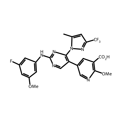 COc1cc(F)cc(Nc2ncc(-c3cnc(OC)c(C(=O)O)c3)c(-n3nc(C(F)(F)F)cc3C)n2)c1